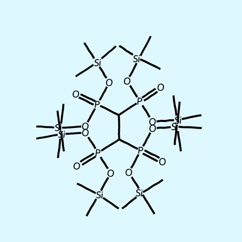 C[Si](C)(C)OP(=O)(O[Si](C)(C)C)C(C(P(=O)(O[Si](C)(C)C)O[Si](C)(C)C)P(=O)(O[Si](C)(C)C)O[Si](C)(C)C)P(=O)(O[Si](C)(C)C)O[Si](C)(C)C